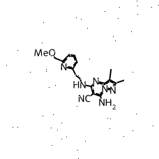 COCc1cccc(CCNc2nc3c(C)c(C)nn3c(N)c2C#N)n1